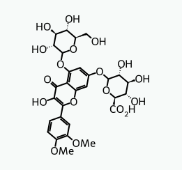 COc1ccc(-c2oc3cc(OC4O[C@H](C(=O)O)[C@@H](O)[C@H](O)[C@H]4O)cc(OC4O[C@H](CO)[C@@H](O)[C@H](O)[C@H]4O)c3c(=O)c2O)cc1OC